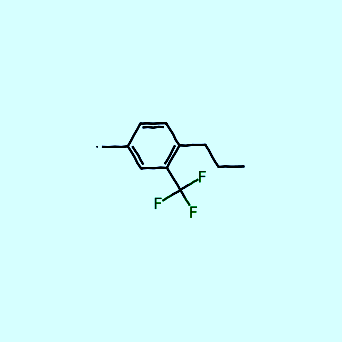 [CH2]c1ccc(CCC)c(C(F)(F)F)c1